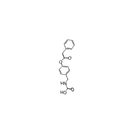 O=C(O)NCc1ccc(OC(=O)Cc2ccccc2)cc1